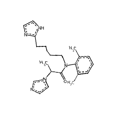 Cc1cccc(C)c1N(CCCCc1ncc[nH]1)C(=O)C(C)n1ccnc1